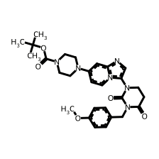 COc1ccc(CN2C(=O)CCN(c3cnc4cc(N5CCN(C(=O)OC(C)(C)C)CC5)ccn34)C2=O)cc1